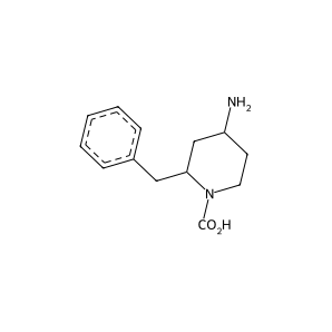 NC1CCN(C(=O)O)C(Cc2ccccc2)C1